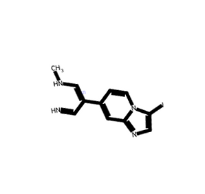 CN/C=C(\C=N)c1ccn2c(I)cnc2c1